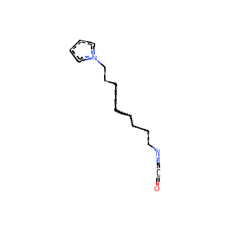 O=C=NCCCCCCCCn1cccc1